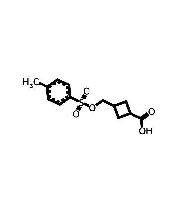 Cc1ccc(S(=O)(=O)OCC2CC(C(=O)O)C2)cc1